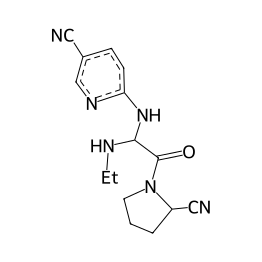 CCNC(Nc1ccc(C#N)cn1)C(=O)N1CCCC1C#N